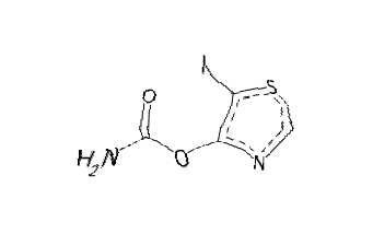 NC(=O)Oc1ncsc1I